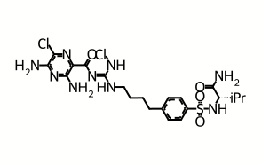 CC(C)[C@H](NS(=O)(=O)c1ccc(CCCCN/C(=N/C(=O)c2nc(Cl)c(N)nc2N)NCl)cc1)C(N)=O